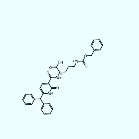 O=C(NCCC[C@H](NC(=O)c1ccc(C(c2ccccc2)c2ccccc2)[nH]c1=O)C(=O)O)OCc1ccccc1